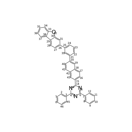 c1ccc(-c2nc(-c3ccccc3)nc(-c3ccc4cc(-c5cccc(-c6ccc7c(c6)oc6ccccc67)c5)ccc4c3)n2)cc1